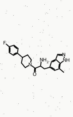 Cc1cc(CC(N)C(=O)N2CCC(c3ccc(F)cc3)CC2)cc2cn[nH]c12